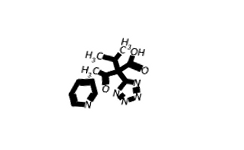 CC(=O)C(C(=O)O)(C(C)C)C1N=NN=N1.c1ccncc1